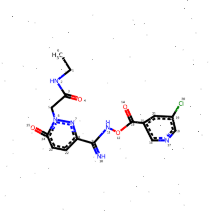 CCNC(=O)Cn1nc(C(=N)NOC(=O)c2cncc(Cl)c2)ccc1=O